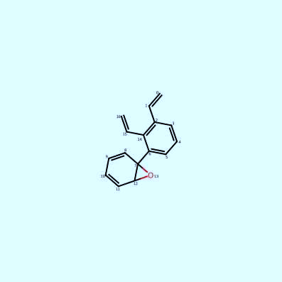 C=Cc1cccc(C23C=CC=CC2O3)c1C=C